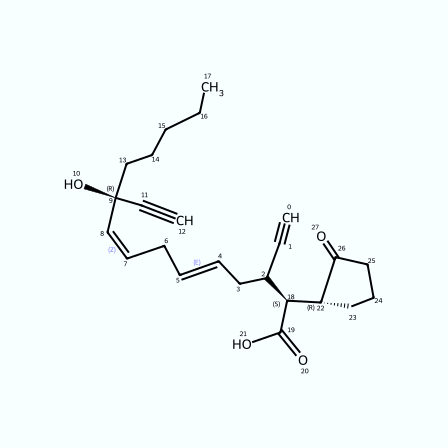 C#CC(C/C=C/C/C=C\[C@@](O)(C#C)CCCCC)[C@H](C(=O)O)[C@H]1CCCC1=O